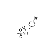 CS(=O)(=O)NC(=O)Cc1ccc(Br)cc1